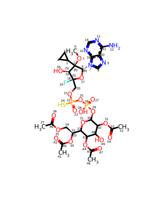 CO[C@@]1(C2CC2)[C@H](n2cnc3c(N)ncnc32)O[C@](F)(COP(=O)(S)OP(=O)(O)OC2OC([C@H](COC(C)=O)OC(C)=O)C(OC(C)=O)C(O)C2OC(C)=O)[C@H]1O